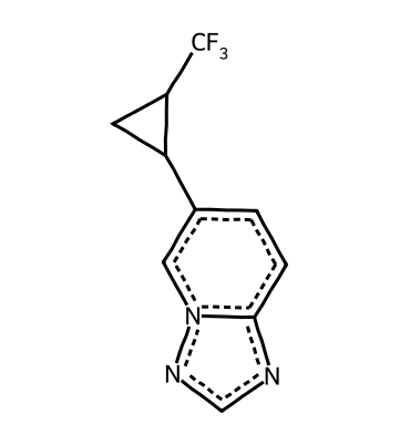 FC(F)(F)C1CC1c1ccc2ncnn2c1